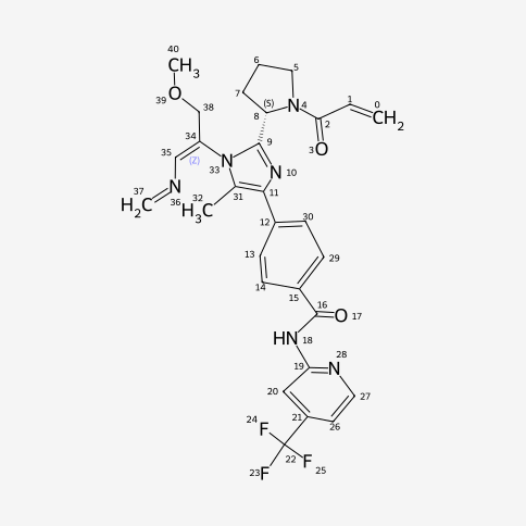 C=CC(=O)N1CCC[C@H]1c1nc(-c2ccc(C(=O)Nc3cc(C(F)(F)F)ccn3)cc2)c(C)n1/C(=C\N=C)COC